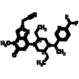 CC[C@H]1CN(C(C)c2ccc(C(F)F)nc2)[C@H](CC)CN1c1cc(=O)n(C)c2cn(CC#N)nc12